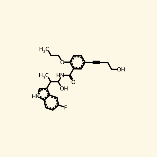 CCCOc1ccc(C#CCCO)cc1C(=O)NC(O)C(C)c1c[nH]c2ccc(F)cc12